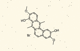 COc1cc2cc[n+]3c(C)c4c(O)c(OC)ccc4c(C)c3c2cc1O.[Br-]